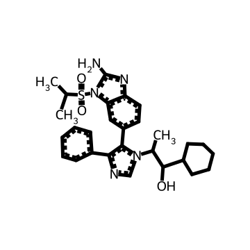 CC(C(O)C1CCCCC1)n1cnc(-c2ccccc2)c1-c1ccc2nc(N)n(S(=O)(=O)C(C)C)c2c1